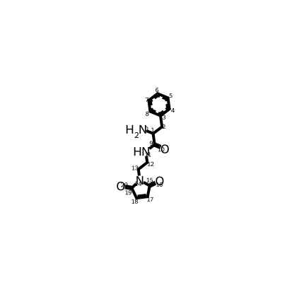 NC(Cc1ccccc1)C(=O)NCCN1C(=O)C=CC1=O